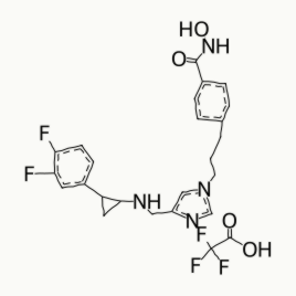 O=C(NO)c1ccc(CCCn2cnc(CNC3CC3c3ccc(F)c(F)c3)c2)cc1.O=C(O)C(F)(F)F